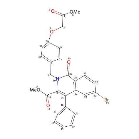 COC(=O)COc1ccc(Cn2c(C(=O)OC)c(-c3ccccc3)c3cc(Br)ccc3c2=O)cc1